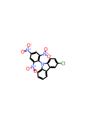 O=[N+]([O-])c1[c]c([N+](=O)[O-])c(-n2c3ccccc3c3cc(Cl)ccc32)c([N+](=O)[O-])c1